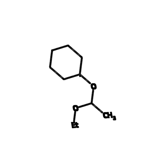 CCOC(C)O[C]1CCCCC1